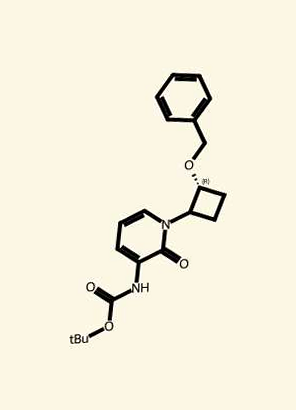 CC(C)(C)OC(=O)Nc1cccn(C2CC[C@H]2OCc2ccccc2)c1=O